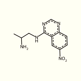 CC(N)CNc1ncnc2ccc([N+](=O)[O-])cc12